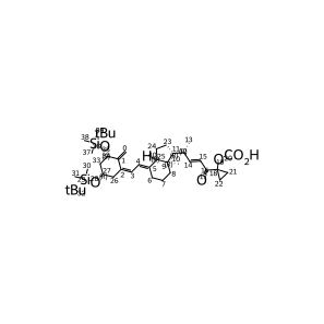 C=C1C(=CC=C2CCC[C@]3(C)[C@@H]([C@H](C)C=CC(=O)C4(OC(=O)O)CC4)CC[C@@H]23)C[C@@H](O[Si](C)(C)C(C)(C)C)C[C@@H]1O[Si](C)(C)C(C)(C)C